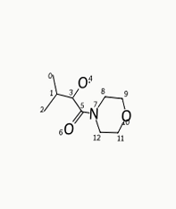 CC(C)C([O])C(=O)N1CCOCC1